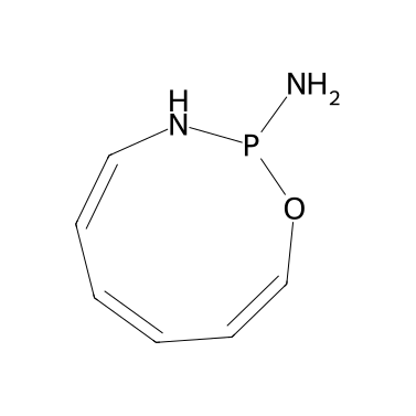 NP1NC=CC=CC=CO1